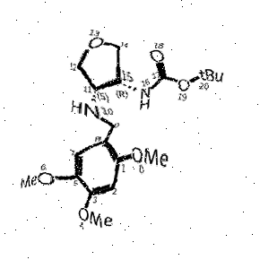 COc1cc(OC)c(OC)cc1CN[C@@H]1COC[C@@H]1NC(=O)OC(C)(C)C